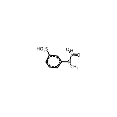 CN(c1cccc(S(=O)(=O)O)c1)[SH](=O)=O